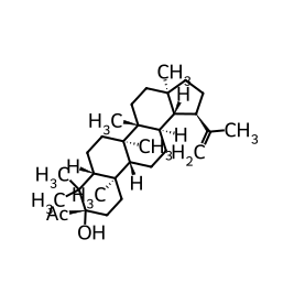 C=C(C)[C@@H]1CC[C@]2(C)CC[C@]3(C)[C@H](CC[C@@H]4[C@@]5(C)CC[C@@](O)(C(C)=O)C(C)(C)[C@@H]5CC[C@]43C)[C@@H]12